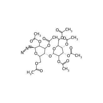 CC(=O)OCC1O[C@@H](N=[N+]=[N-])C(OC(C)=O)C(OC(C)=O)[C@@H]1O[C@@H]1OC(COC(C)=O)[C@H](OC(C)=O)[C@H](OC(C)=O)C1OC(C)=O